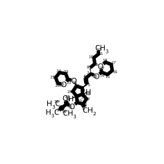 C=C1C[C@@H]2[C@H](/C=C/[C@H](CCCCC)OC3CCCCO3)[C@H](OC3CCCCO3)C[C@@H]2C1OC(=O)C(C)(C)C